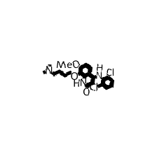 COc1ccc2c(Nc3c(Cl)cccc3Cl)cc(=O)[nH]c2c1OCCCCN(C)C